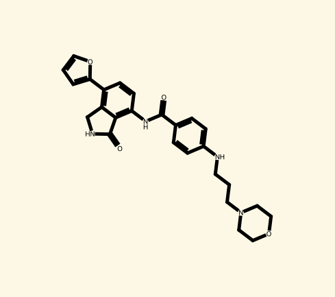 O=C(Nc1ccc(-c2ccco2)c2c1C(=O)NC2)c1ccc(NCCCN2CCOCC2)cc1